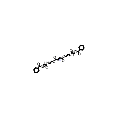 O=C(CNC(=O)C1CCCCC1)NCCOC(=O)/C=C/C(=O)OCCNC(=O)CNC(=O)C1CCCCC1